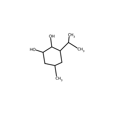 CC1CC(O)C(O)C(C(C)C)C1